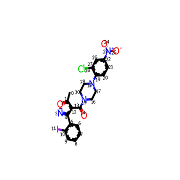 Cc1onc(-c2ccccc2I)c1C(=O)N1CCN(c2ccc([N+](=O)[O-])cc2Cl)CC1